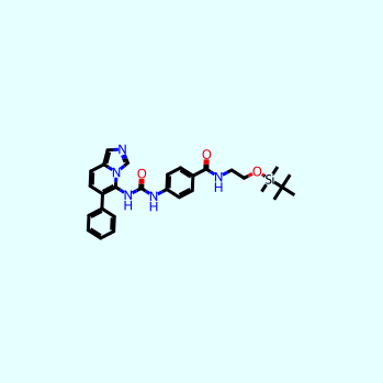 CC(C)(C)[Si](C)(C)OCCNC(=O)c1ccc(NC(=O)Nc2c(-c3ccccc3)ccc3cncn23)cc1